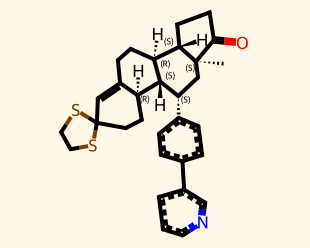 C[C@]12C[C@H](c3ccc(-c4cccnc4)cc3)[C@H]3[C@@H](CCC4=CC5(CC[C@@H]43)SCCS5)[C@@H]1CCC2=O